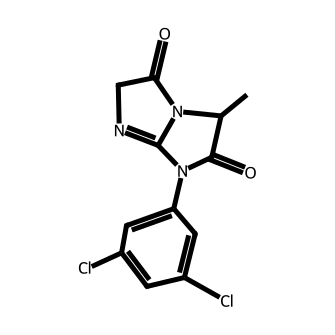 CC1C(=O)N(c2cc(Cl)cc(Cl)c2)C2=NCC(=O)N21